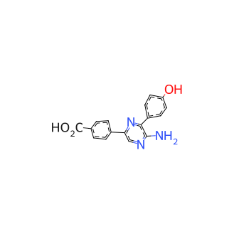 Nc1ncc(-c2ccc(C(=O)O)cc2)nc1-c1ccc(O)cc1